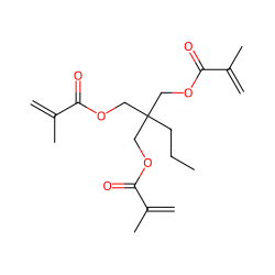 C=C(C)C(=O)OCC(CCC)(COC(=O)C(=C)C)COC(=O)C(=C)C